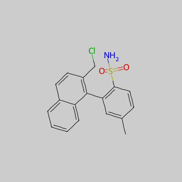 Cc1ccc(S(N)(=O)=O)c(-c2c(CCl)ccc3ccccc23)c1